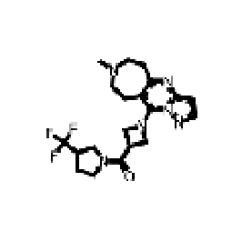 CN1CCc2nc3ccnn3c(N3CC(C(=O)N4CCC(C(F)(F)F)C4)C3)c2CC1